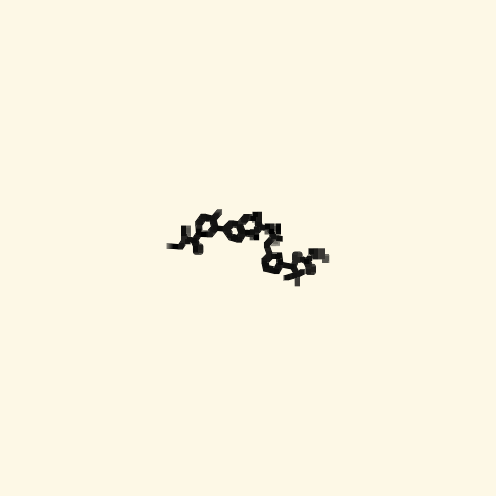 CCNC(=O)c1ccc(C)c(-c2ccc3nc(N[C@@H](C)Cc4cccc(C(OC(N)=O)C(C)(C)C)c4)ncc3c2)c1